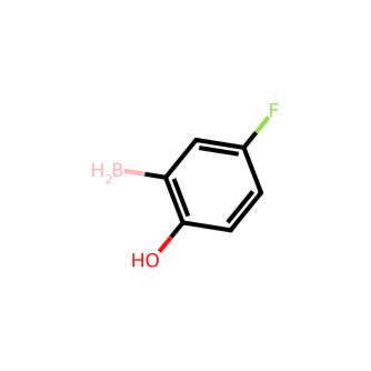 Bc1cc(F)ccc1O